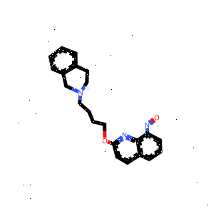 O=Nc1cccc2ccc(OCCCCN3CCc4ccccc4C3)nc12